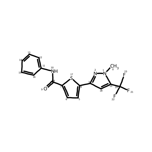 Cn1nc(-c2ccc(C(=O)Nc3ccccc3)s2)cc1C(F)(F)F